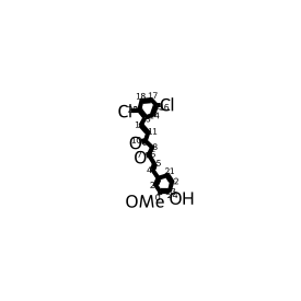 COc1cc(C=CC(=O)CC(=O)C=Cc2cc(Cl)ccc2Cl)ccc1O